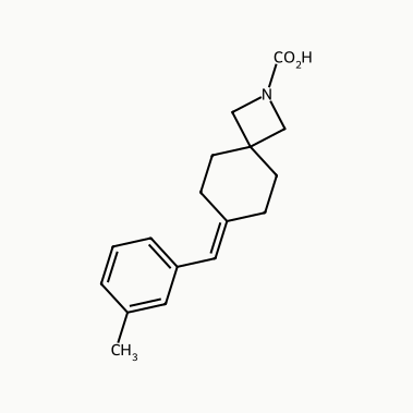 Cc1cccc(C=C2CCC3(CC2)CN(C(=O)O)C3)c1